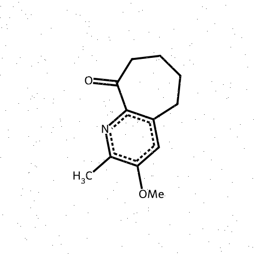 COc1cc2c(nc1C)C(=O)CCCC2